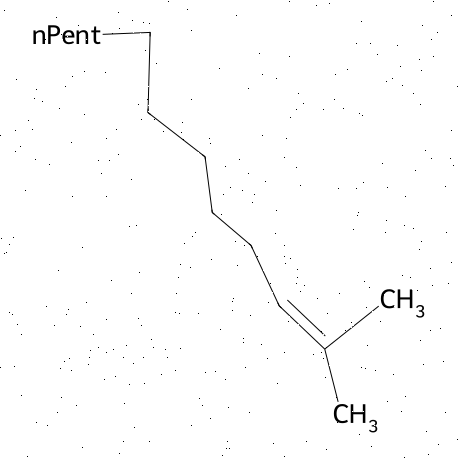 [CH2]CCCCCCCCCC=C(C)C